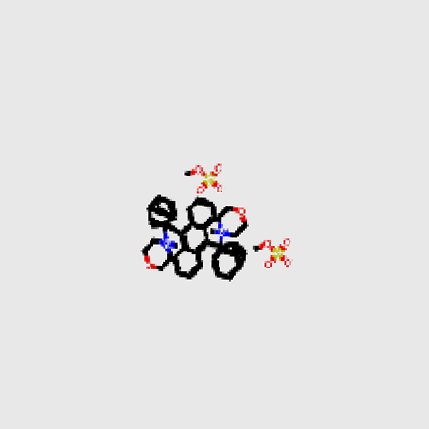 COS(=O)(=O)[O-].COS(=O)(=O)[O-].C[N+]1(C2(c3c4ccccc4c(C4([N+]5(C)CCOCC5)C#Cc5ccc4cc5)c4ccccc34)C#Cc3ccc2cc3)CCOCC1